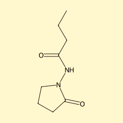 CCCC(=O)NN1CCCC1=O